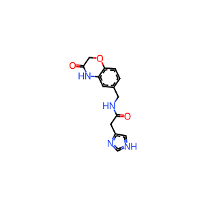 O=C(Cc1c[nH]cn1)NCc1ccc2c(c1)NC(=O)CO2